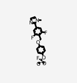 Cn1ccnc1-c1cc(F)c(COc2ccc(OS(=O)(=O)F)cc2)c(F)c1